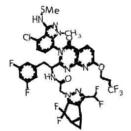 CSNc1nn(C)c2c(-n3c(C(Cc4cc(F)cc(F)c4)NC(=O)Cn4nc(C(F)F)c5c4C(F)(F)C4CC54)nc4nc(OCCC(F)(F)F)ccc4c3=O)ccc(Cl)c12